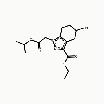 CCOC(=O)c1nn(CC(=O)OC(C)C)c2c1CC(O)CC2